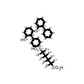 O=C(O)C(F)(F)C(F)(F)C(F)(F)C(F)(F)S(=O)(=O)O.Sc1ccccc1-c1ccccc1.Sc1ccccc1-c1ccccc1